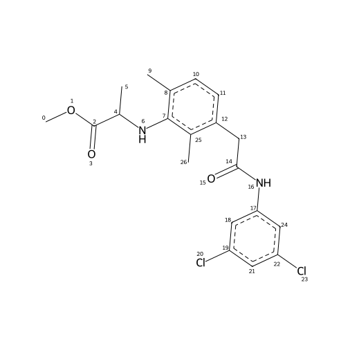 COC(=O)C(C)Nc1c(C)ccc(CC(=O)Nc2cc(Cl)cc(Cl)c2)c1C